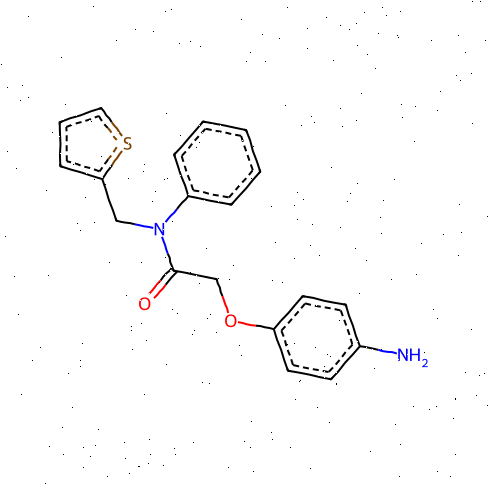 Nc1ccc(OCC(=O)N(Cc2cccs2)c2ccccc2)cc1